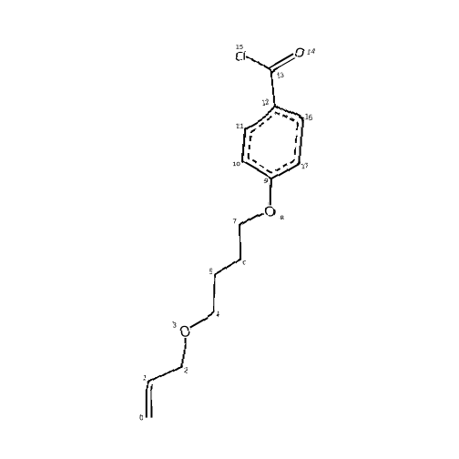 C=CCOCCCCOc1ccc(C(=O)Cl)cc1